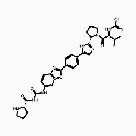 CC(C)C(NC(=O)O)C(=O)N1CCC[C@H]1c1ncc(-c2ccc(-c3nc4ccc(NC(=O)NC(=O)[C@@H]5CCCN5)cc4s3)cc2)[nH]1